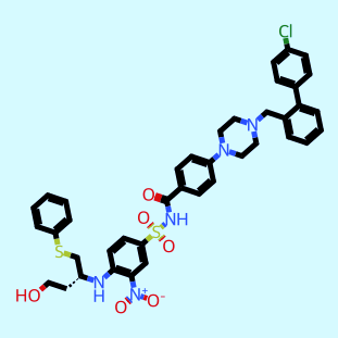 O=C(NS(=O)(=O)c1ccc(N[C@H](CCO)CSc2ccccc2)c([N+](=O)[O-])c1)c1ccc(N2CCN(Cc3ccccc3-c3ccc(Cl)cc3)CC2)cc1